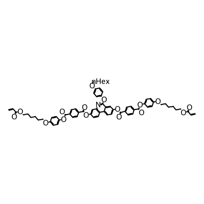 C=CC(=O)OCCCCCCOc1ccc(OC(=O)c2ccc(C(=O)Oc3ccc4c(c3)nc(Oc3ccc(OCCCCCC)cc3)c3cc(OC(=O)c5ccc(C(=O)Oc6ccc(OCCCCCCOC(=O)C=C)cc6)cc5)ccc34)cc2)cc1